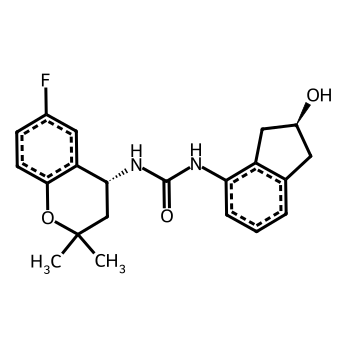 CC1(C)C[C@@H](NC(=O)Nc2cccc3c2C[C@@H](O)C3)c2cc(F)ccc2O1